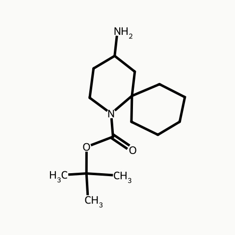 CC(C)(C)OC(=O)N1CCC(N)CC12CCCCC2